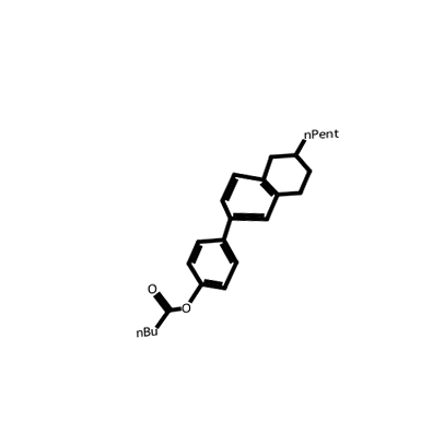 CCCCCC1CCc2cc(-c3ccc(OC(=O)CCCC)cc3)ccc2C1